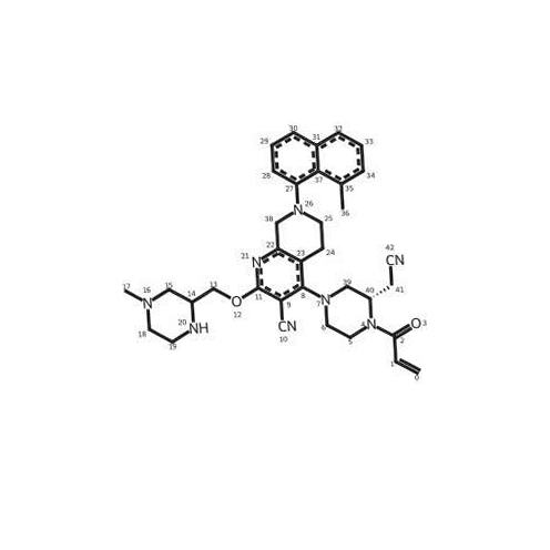 C=CC(=O)N1CCN(c2c(C#N)c(OCC3CN(C)CCN3)nc3c2CCN(c2cccc4cccc(C)c24)C3)C[C@@H]1CC#N